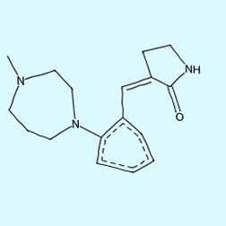 CN1CCCN(c2ccccc2C=C2CCNC2=O)CC1